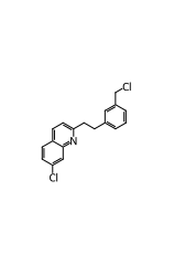 ClCc1cccc(CCc2ccc3ccc(Cl)cc3n2)c1